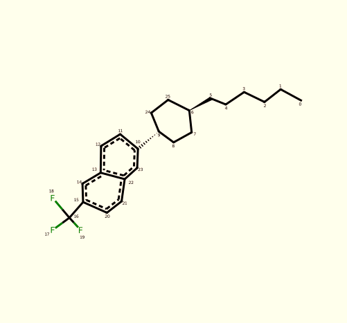 CCCCCC[C@H]1CC[C@H](c2ccc3cc(C(F)(F)F)ccc3c2)CC1